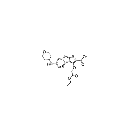 CCOC(=O)COc1c(C(=O)OC)sc2cc3cc(NC4CCOCC4)csc-3c12